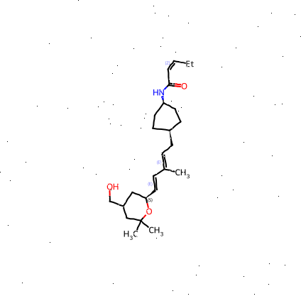 CC/C=C\C(=O)N[C@H]1CC[C@@H](C/C=C(C)/C=C/[C@@H]2CC(CO)CC(C)(C)O2)CC1